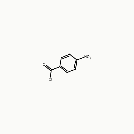 O=C(Cl)c1c[c]c([N+](=O)[O-])cc1